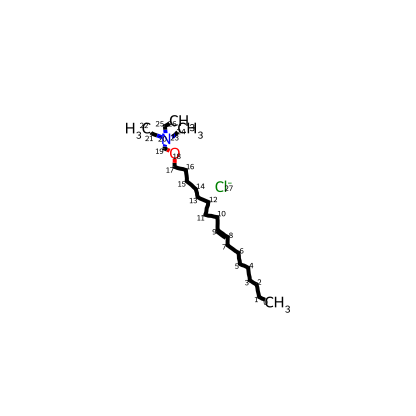 CCCCCCCCC=CCCCCCCCCOC[N+](CC)(CC)CC.[Cl-]